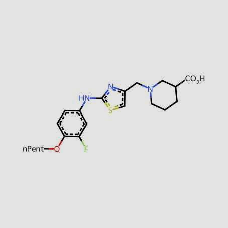 CCCCCOc1ccc(Nc2nc(CN3CCCC(C(=O)O)C3)cs2)cc1F